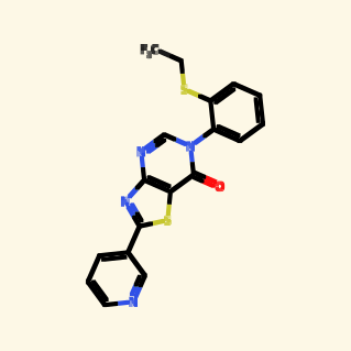 O=c1c2sc(-c3cccnc3)nc2ncn1-c1ccccc1SCC(F)(F)F